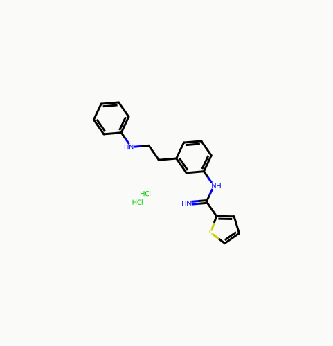 Cl.Cl.N=C(Nc1cccc(CCNc2ccccc2)c1)c1cccs1